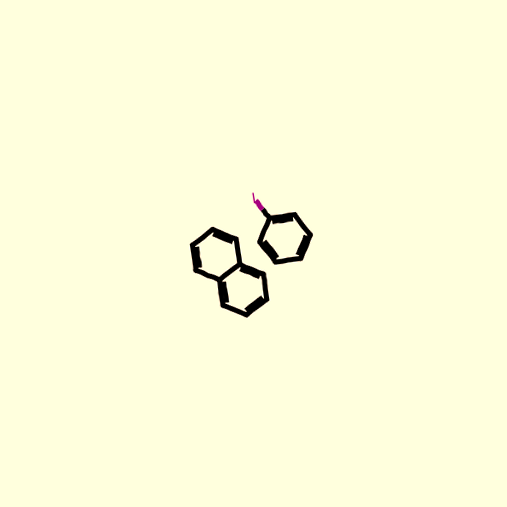 Ic1ccccc1.c1ccc2ccccc2c1